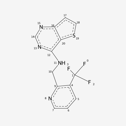 FC(F)(F)c1cccnc1CNc1ncnc2ccsc12